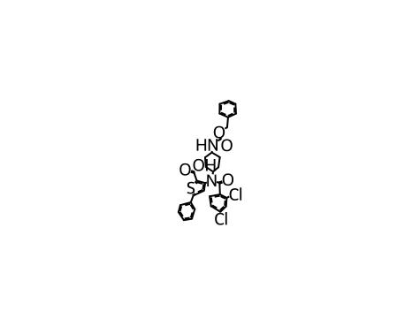 O=C(NC1CCC(N(C(=O)c2ccc(Cl)cc2Cl)c2cc(-c3ccccc3)sc2C(=O)O)CC1)OCc1ccccc1